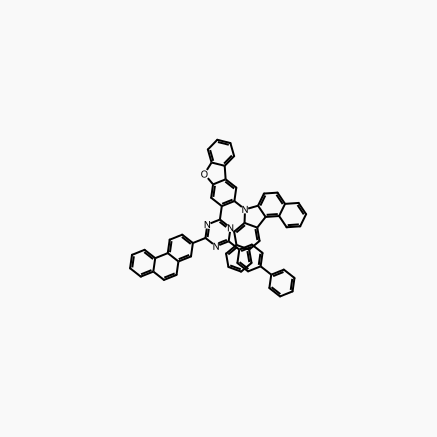 c1ccc(-c2ccc(-c3nc(-c4ccc5c(ccc6ccccc65)c4)nc(-c4cc5oc6ccccc6c5cc4-n4c5cc6ccccc6cc5c5c6ccccc6ccc54)n3)cc2)cc1